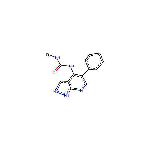 CCNC(=O)Nc1c(-c2ccccc2)cnc2[nH]ncc12